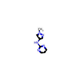 Cn1cc(Nc2nc[c]cn2)cn1